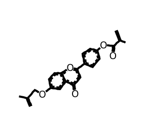 C=C(C)COc1ccc2oc(-c3ccc(OC(=O)C(=C)C)cc3)cc(=O)c2c1